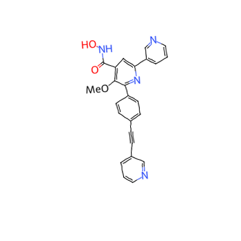 COc1c(C(=O)NO)cc(-c2cccnc2)nc1-c1ccc(C#Cc2cccnc2)cc1